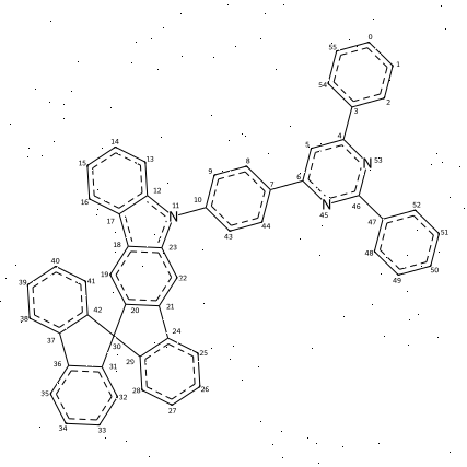 c1ccc(-c2cc(-c3ccc(-n4c5ccccc5c5cc6c(cc54)-c4ccccc4C64c5ccccc5-c5ccccc54)cc3)nc(-c3ccccc3)n2)cc1